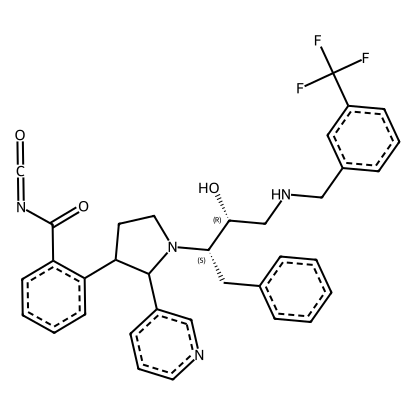 O=C=NC(=O)c1ccccc1C1CCN([C@@H](Cc2ccccc2)[C@H](O)CNCc2cccc(C(F)(F)F)c2)C1c1cccnc1